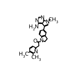 Cc1ccc(CC(=O)N2CCc3cc(-c4cn(C)c5ncnc(N)c45)ccc32)nc1C